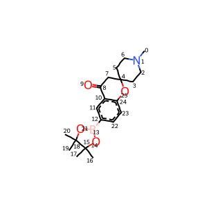 CN1CCC2(CC1)CC(=O)c1cc(B3OC(C)(C)C(C)(C)O3)ccc1O2